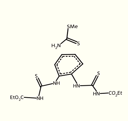 CCOC(=O)NC(=S)Nc1ccccc1NC(=S)NC(=O)OCC.CSC(N)=S